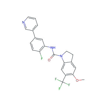 COc1cc2c(cc1C(F)(F)F)N(C(=O)Nc1cc(-c3cccnc3)ccc1F)CC2